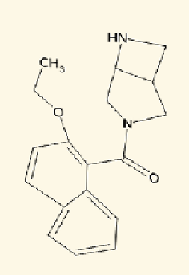 CCOc1ccc2ccccc2c1C(=O)N1CC2CNC2C1